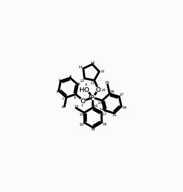 Cc1ccccc1OP(O)(OC1CCCC1)(c1ccccc1C)c1ccccc1C